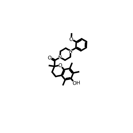 COc1ccccc1N1CCN(C(=O)C2(C)CCc3c(C)c(O)c(C)c(C)c3O2)CC1